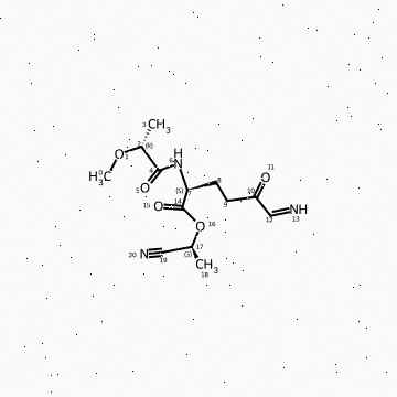 CO[C@H](C)C(=O)N[C@@H](CCC(=O)C=N)C(=O)O[C@@H](C)C#N